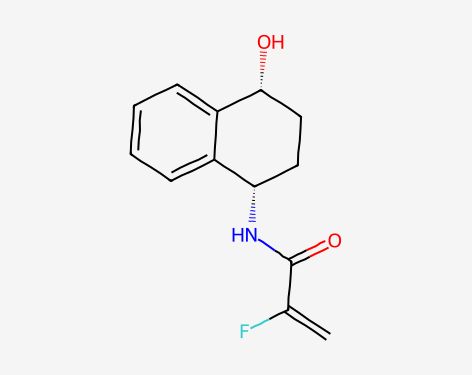 C=C(F)C(=O)N[C@H]1CC[C@@H](O)c2ccccc21